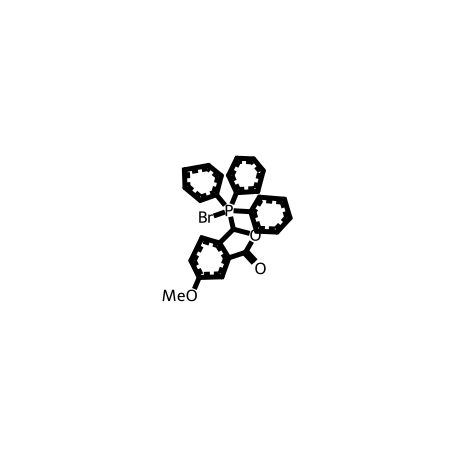 COc1ccc2c(c1)C(=O)OC2P(Br)(c1ccccc1)(c1ccccc1)c1ccccc1